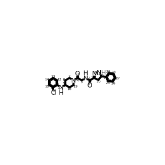 O=C(NCC(=O)N1CCC(Nc2ccccc2Cl)CC1)C1=NNC(c2ccccc2)C1